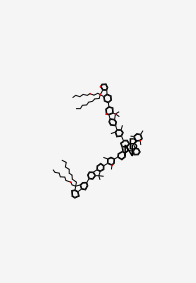 CCCCCCCCC1(CCCCCCCC)c2ccccc2-c2ccc(-c3ccc4c(c3)C(C)(C)c3cc(-c5c(C)cc(-c6ccc7c(c6)c6cc(-c8cc(C)c(-c9ccc%10c(c9)C(C)(C)c9cc(-c%11ccc%12c(c%11)C(CCCCCCCC)(CCCCCCCC)c%11ccccc%11-%12)ccc9-%10)c(C)c8)cc8c6n7-c6ccccc6B8c6c(C)cc(C)cc6C)cc5C)ccc3-4)cc21